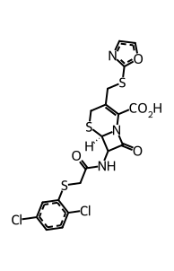 O=C(CSc1cc(Cl)ccc1Cl)NC1C(=O)N2C(C(=O)O)=C(CSc3ncco3)CS[C@H]12